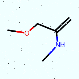 C=C(COC)NC